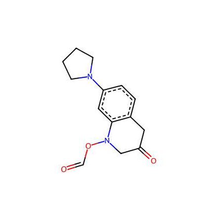 O=CON1CC(=O)Cc2ccc(N3CCCC3)cc21